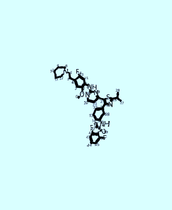 COc1cc(CCN2CCCCC2)c(F)cc1Nc1nccc(-c2sc(C(C)C)nc2-c2cccc(NS(=O)(=O)c3c(F)cccc3F)c2)n1